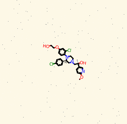 COc1ccc([C@](C)(O)CN2CCN(c3ccc(OCCO)cc3Cl)[C@H](c3ccc(Cl)cc3)C2)cn1